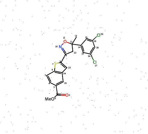 COC(=O)c1ccc2sc(C3=NOC(C)(c4cc(Cl)cc(Cl)c4)C3)cc2c1